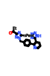 CCCCCc1nc(C(=O)CC)nn1Cc1ccc(-c2ncccc2-c2nnn[nH]2)cc1